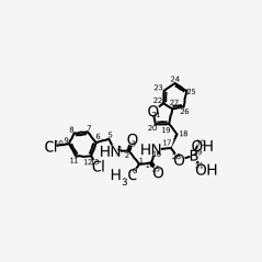 CC(C(=O)NCc1ccc(Cl)cc1Cl)C(=O)N[C@@H](Cc1coc2ccccc12)OB(O)O